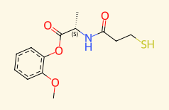 COc1ccccc1OC(=O)[C@H](C)NC(=O)CCS